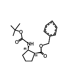 CC(C)(C)OC(=O)N[C@@H]1CCC[C@@H]1C(=O)OCc1ccccc1